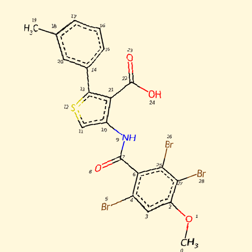 COc1cc(Br)c(C(=O)Nc2csc(-c3cccc(C)c3)c2C(=O)O)c(Br)c1Br